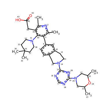 Cc1nc(C)c(-c2ccc3c(c2)CCN(c2ncnc(N4CC(C)OC(C)C4)n2)C3)c(N2CCC(C)(C)CC2)c1CC(=O)O